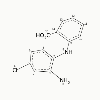 Nc1cc(Cl)ccc1Nc1ccccc1C(=O)O